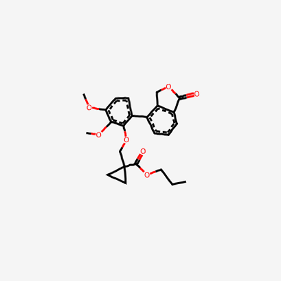 CCCOC(=O)C1(COc2c(-c3cccc4c3COC4=O)ccc(OC)c2OC)CC1